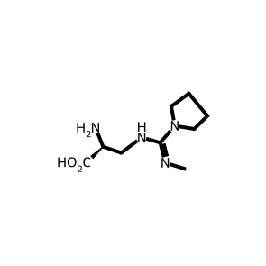 C/N=C(/NC[C@H](N)C(=O)O)N1CCCC1